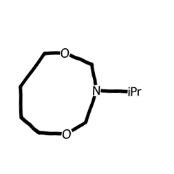 CC(C)N1COCCCCOC1